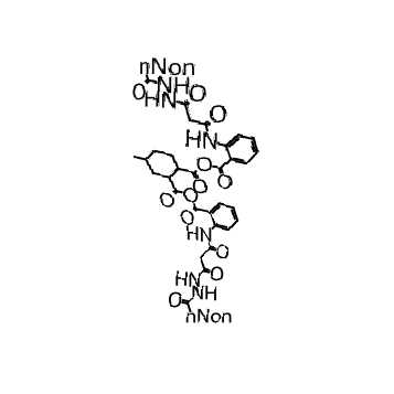 CCCCCCCCCC(=O)NNC(=O)CC(=O)Nc1ccccc1C(=O)OC(=O)C1CCC(C)CC1C(=O)OC(=O)c1ccccc1NC(=O)CC(=O)NNC(=O)CCCCCCCCC